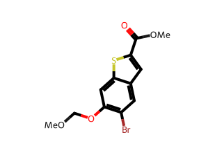 COCOc1cc2sc(C(=O)OC)cc2cc1Br